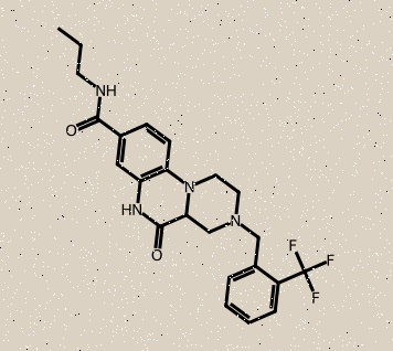 CCCNC(=O)c1ccc2c(c1)NC(=O)C1CN(Cc3ccccc3C(F)(F)F)CCN21